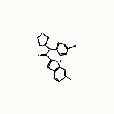 O=C(c1cc2ccc(F)cc2[nH]1)N(c1ccc(F)cc1)C1CCOC1